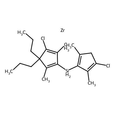 CCCC1(CCC)C(C)=C([SiH2]C2=C(C)CC(Cl)=C2C)C(C)=C1Cl.[Zr]